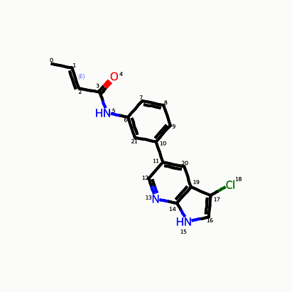 C/C=C/C(=O)Nc1cccc(-c2cnc3[nH]cc(Cl)c3c2)c1